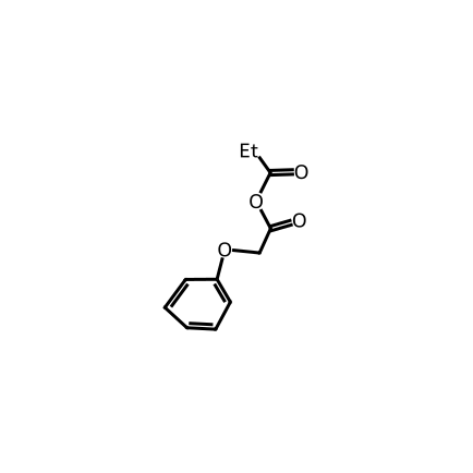 [CH2]CC(=O)OC(=O)COc1ccccc1